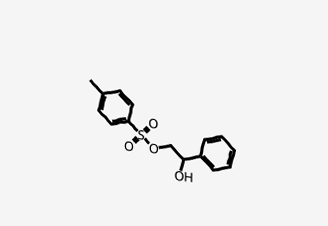 Cc1ccc(S(=O)(=O)OCC(O)c2ccccc2)cc1